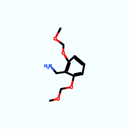 COCOc1cccc(OCOC)c1CN